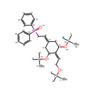 CC(C)(C)[Si](C)(C)OCC=C1C(O[Si](C)(C)C(C)(C)C)C/C(=C\CP(=O)(c2ccccc2)c2ccccc2)C[C@H]1O[Si](C)(C)C(C)(C)C